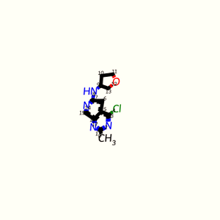 Cc1nc(Cl)c2cc(NC3CCOC3)ncc2n1